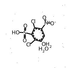 O.O.O=[N+]([O-])c1ccc(Cl)c(S(=O)(=O)O)c1Cl